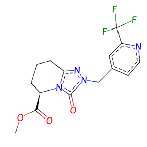 COC(=O)[C@H]1CCCc2nn(Cc3ccnc(C(F)(F)F)c3)c(=O)n21